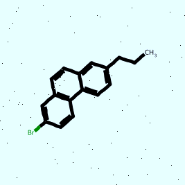 CCCc1ccc2c(ccc3cc(Br)ccc32)c1